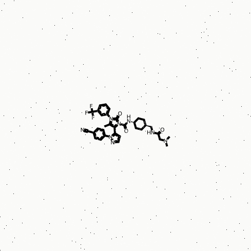 Cc1c(-c2ccnn2-c2ccc(C#N)cc2)n(C(=O)N[C@H]2CC[C@H](CNC(=O)CN(C)C)CC2)c(=O)n1-c1cccc(C(F)(F)F)c1